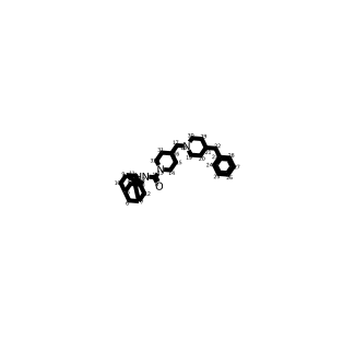 O=C(NC12CC3CC(CC(C3)C1)C2)N1CCC(CN2CCC(Cc3ccccc3)CC2)CC1